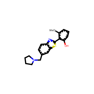 COc1cccc(O)c1-c1nc2ccc(CN3CCCC3)cc2s1